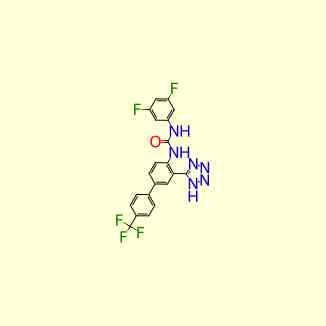 O=C(Nc1cc(F)cc(F)c1)Nc1ccc(-c2ccc(C(F)(F)F)cc2)cc1-c1nnn[nH]1